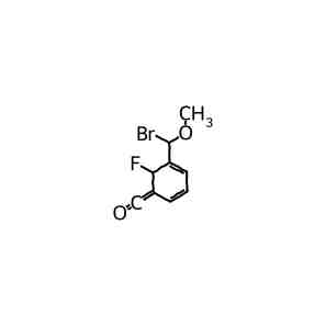 COC(Br)C1=CC=CC(=C=O)C1F